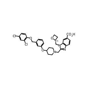 O=C(O)c1ccc2nc(CN3CCC(Oc4cccc(COc5ccc(Cl)cc5Cl)c4)CC3)n(C[C@@H]3CCO3)c2c1